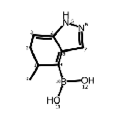 CC1CC=c2[nH]ncc2=C1B(O)O